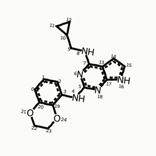 [c]1ccc(Nc2nc(NCC3CC3)c3cc[nH]c3n2)c2c1OCCO2